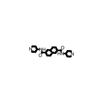 O=C(Nc1ccncc1)c1ccc2cc(C(=O)Nc3ccncc3)ccc2c1